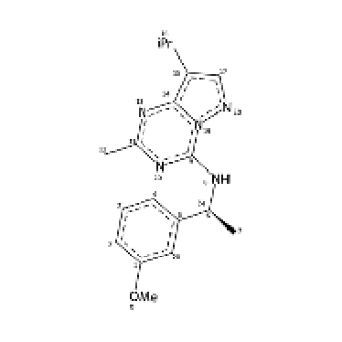 COc1cccc([C@H](C)Nc2nc(C)nc3c(C(C)C)cnn23)c1